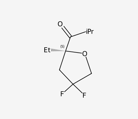 CC[C@@]1(C(=O)C(C)C)CC(F)(F)CO1